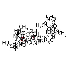 CCNC(=O)c1nnc(-c2cc(C(C)C)c(O)cc2O)n1-c1ccc(CN2CCN(C(=O)CC[C@H](CC(=O)CC[C@H](C(=O)O)N(CC)CCN(C)CC(=O)OC3OC(=O)CN(C)CCN(C)CC(=O)O3)C(=O)N3CCN(Cc4ccc(-n5c(C(=O)NCC)nnc5-c5cc(C(C)C)c(O)cc5O)cc4)CC3)CC2)cc1